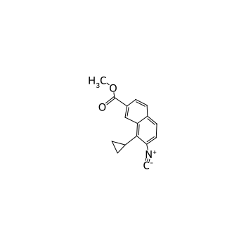 [C-]#[N+]c1ccc2ccc(C(=O)OC)cc2c1C1CC1